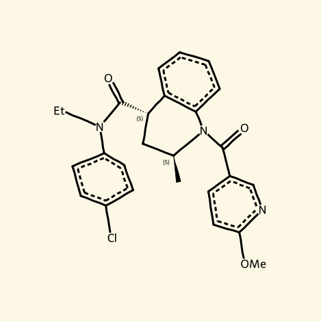 CCN(C(=O)[C@H]1C[C@H](C)N(C(=O)c2ccc(OC)nc2)c2ccccc21)c1ccc(Cl)cc1